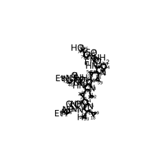 CCn1ccc(S(N)(=O)=NC(=O)Nc2c3c(nc(C4CC4)c2C2CC2)CC(C2CC2c2c(C4CC4)nc4c(c2NC(=O)N=S(N)(=O)c2ccn(CC)n2)CC(C2CC2c2c(C5CC5)nc5c(c2NC(=O)N=S(N)(=O)c2sc(C(C)(C)O)cc2F)CCC5)C4)C3)n1